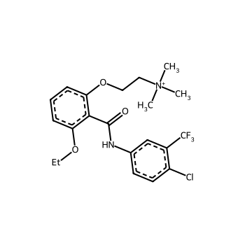 CCOc1cccc(OCC[N+](C)(C)C)c1C(=O)Nc1ccc(Cl)c(C(F)(F)F)c1